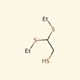 CCSC(CS)SCC